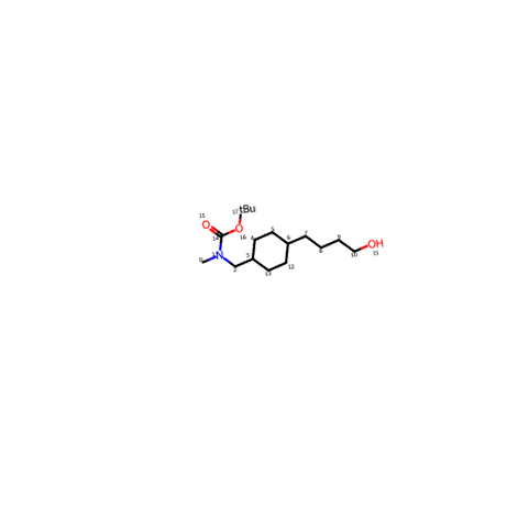 CN(CC1CCC(CCCCO)CC1)C(=O)OC(C)(C)C